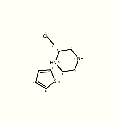 C1CNCCN1.CCl.c1ccsc1